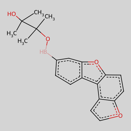 CC(C)(O)C(C)(C)OBc1ccc2c(c1)oc1ccc3occc3c12